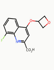 O=C(O)c1cc(OC2COC2)c2cccc(F)c2n1